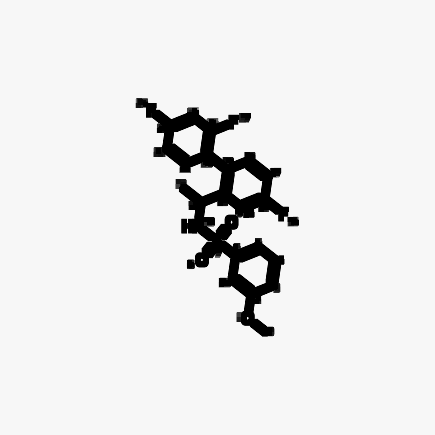 COc1cccc(S(=O)(=O)NC(C)c2cc(F)ccc2-c2ccc(F)cc2F)c1